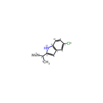 CNC(C)c1cc2cc(Cl)ccc2[nH]1